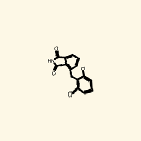 O=C1NC(=O)c2c(Cc3c(Cl)cccc3Cl)cccc21